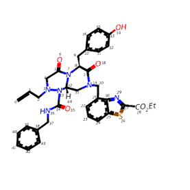 C=CCN1CC(=O)N2[C@@H](Cc3ccc(O)cc3)C(=O)N(Cc3cccc4sc(C(=O)OCC)nc34)C[C@@H]2N1C(=O)NCc1ccccc1